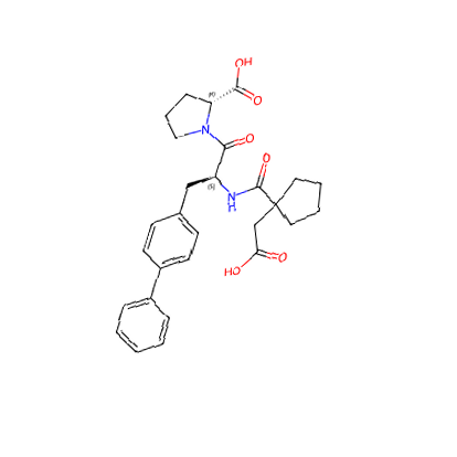 O=C(O)CC1(C(=O)N[C@@H](Cc2ccc(-c3ccccc3)cc2)C(=O)N2CCC[C@@H]2C(=O)O)CCCC1